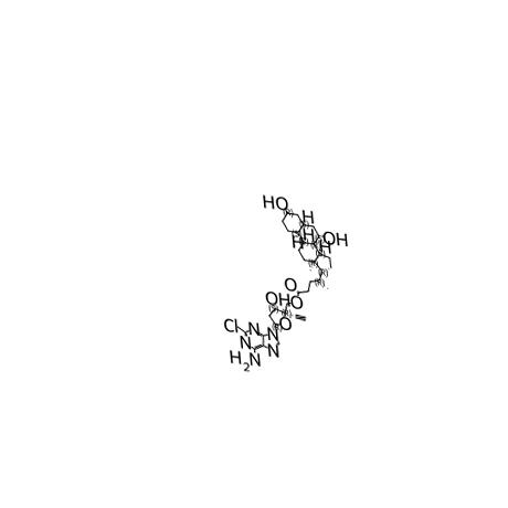 C#C[C@]1(COC(=O)CC[C@@H](C)[C@H]2CC[C@H]3[C@@H]4[C@@H](O)C[C@@H]5C[C@H](O)CC[C@]5(C)[C@H]4CC[C@]23C)O[C@@H](n2cnc3c(N)nc(Cl)nc32)C[C@@H]1O